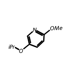 COc1ccc(OC(C)C)cn1